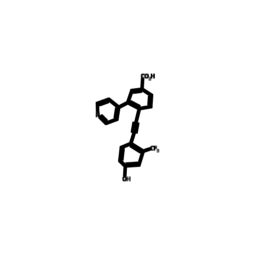 O=C(O)c1ccc(C#Cc2ccc(O)cc2C(F)(F)F)c(-c2ccncc2)c1